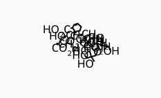 C=CC(=O)O.C=CC(=O)O.C=CC(=O)O.C=CC(=O)O.C=CC(=O)O.O=C(O)C1C=CCCC1C(=O)O.OCC(CO)(CO)COCC(CO)(CO)CO